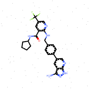 Nc1n[nH]c2ncc(-c3ccc(CNc4ncc(C(F)(F)F)cc4C(=O)NC4CCCC4)cc3)cc12